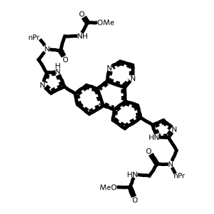 CCCN(Cc1ncc(-c2ccc3c4ccc(-c5cnc(CN(CCC)C(=O)CNC(=O)OC)[nH]5)cc4c4nccnc4c3c2)[nH]1)C(=O)CNC(=O)OC